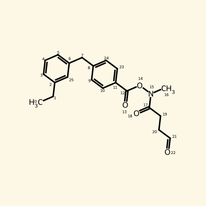 CCc1cccc(Cc2ccc(C(=O)ON(C)C(=O)CCC=O)cc2)c1